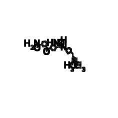 CCN(CC)CCCc1ccc(N/C=C2\C(=O)Nc3cc(C(=O)c4cccc(C(N)=O)c4)ccc32)cc1